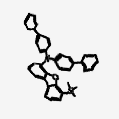 C[Si](C)(C)c1cccc2c1oc1c(N(c3ccc(-c4ccccc4)cc3)c3ccc(C4C=CC=CC4)cc3)cccc12